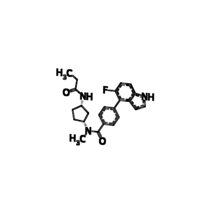 CCC(=O)N[C@H]1CC[C@@H](N(C)C(=O)c2ccc(-c3c(F)ccc4[nH]ccc34)cc2)C1